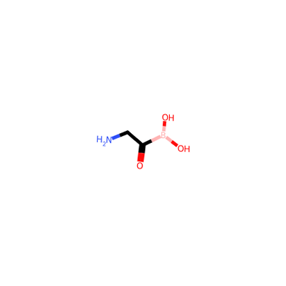 NCC(=O)B(O)O